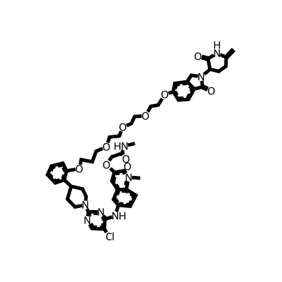 C=C1CCC(N2Cc3cc(OCCOCCOCCOCCCOc4ccccc4C4CCN(c5ncc(Cl)c(Nc6ccc7c(c6)cc(OCC(=O)NC)c(=O)n7C)n5)CC4)ccc3C2=O)C(=O)N1